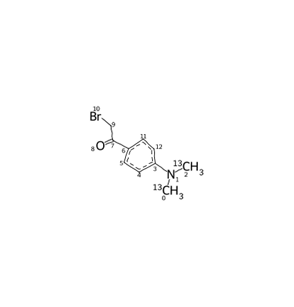 [13CH3]N([13CH3])c1ccc(C(=O)CBr)cc1